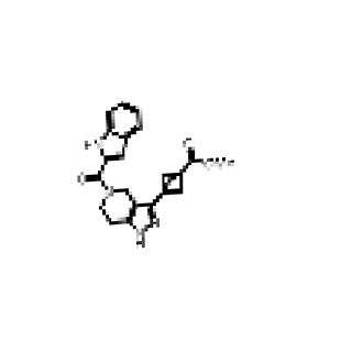 COC(=O)C12CC(c3n[nH]c4c3CN(C(=O)c3cc5ccccc5[nH]3)CC4)(C1)C2